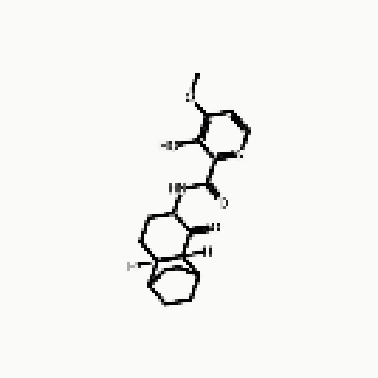 COc1ccnc(C(=O)NC2CC[C@H]3C4CCC(CC4)[C@H]3C2=O)c1O